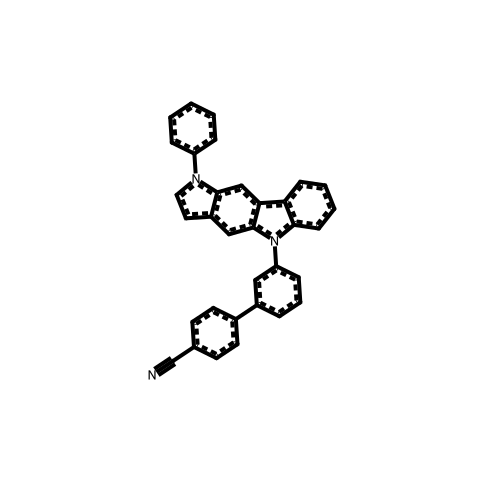 N#Cc1ccc(-c2cccc(-n3c4ccccc4c4cc5c(ccn5-c5ccccc5)cc43)c2)cc1